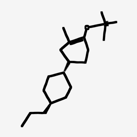 CCC[C@H]1CC[C@H](C2CCC(O[Si](C)(C)C)=C(C)C2)CC1